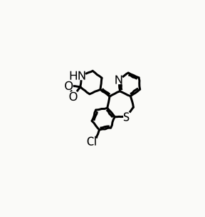 Clc1ccc2c(c1)SCc1cccnc1C2=C1CCNC2(C1)OO2